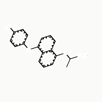 CC(Oc1cccc2c(Oc3ccc(C(F)(F)F)cc3)cccc12)C(=O)O